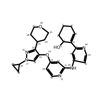 OC1CCCC=C1c1cc(Nc2cc(Oc3cn(C4CC4)nc3C3CCOCC3)ccn2)ccn1